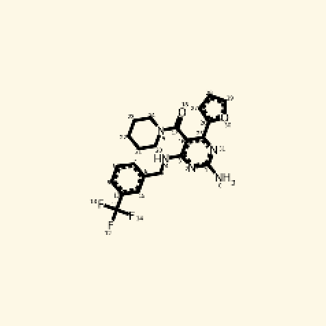 Nc1nc(NCc2cccc(C(F)(F)F)c2)c(C(=O)N2CCCCC2)c(-c2ccco2)n1